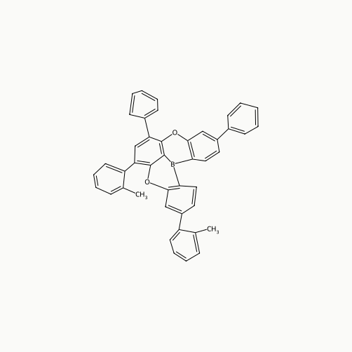 Cc1ccccc1-c1ccc2c(c1)Oc1c(-c3ccccc3C)cc(-c3ccccc3)c3c1B2c1ccc(-c2ccccc2)cc1O3